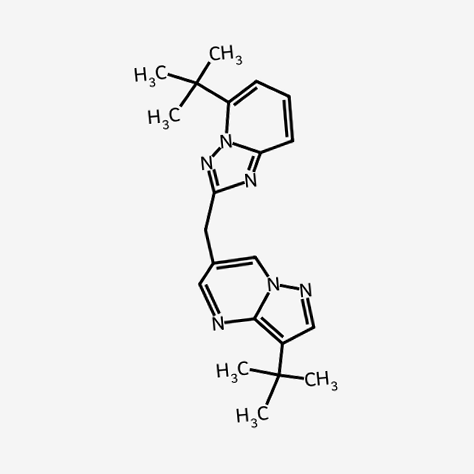 CC(C)(C)c1cnn2cc(Cc3nc4cccc(C(C)(C)C)n4n3)cnc12